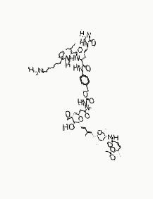 CC(=O)O[C@@H](C)/C=C\C(=O)N[C@@H]1C[C@H](C)[C@H](C/C=C(C)/C=C/[C@H]2O[C@H](CC(=O)N(C)NC(=O)OCc3ccc(NC(=O)[C@H](CCCNC(N)=O)NC(=O)[C@@H](NC(=O)CCCCCN)C(C)C)cc3)C[C@@]3(CO3)[C@@H]2O)O[C@@H]1C